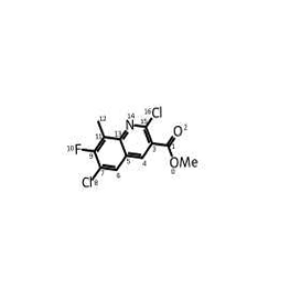 COC(=O)c1cc2cc(Cl)c(F)c(C)c2nc1Cl